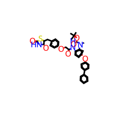 CN(C(=O)OC(C)(C)C)c1cc(Oc2ccc(-c3ccccc3)cc2)ccc1NC(=O)COc1ccc(CC2SC(=O)NC2=O)cc1